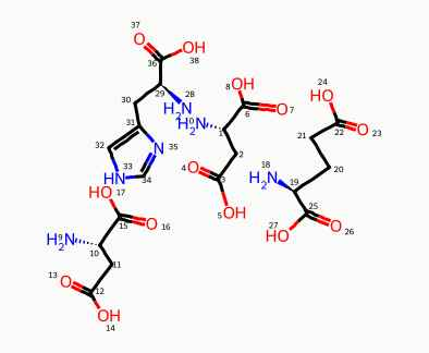 N[C@@H](CC(=O)O)C(=O)O.N[C@@H](CC(=O)O)C(=O)O.N[C@@H](CCC(=O)O)C(=O)O.N[C@@H](Cc1c[nH]cn1)C(=O)O